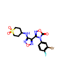 O=c1onc(-c2nonc2NC2CCS(=O)(=O)CC2)n1-c1ccc(F)c(Br)c1